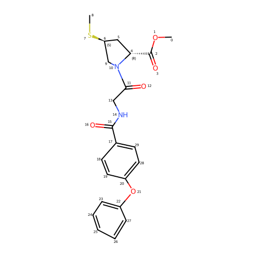 COC(=O)[C@H]1C[C@H](SC)CN1C(=O)CNC(=O)c1ccc(Oc2ccccc2)cc1